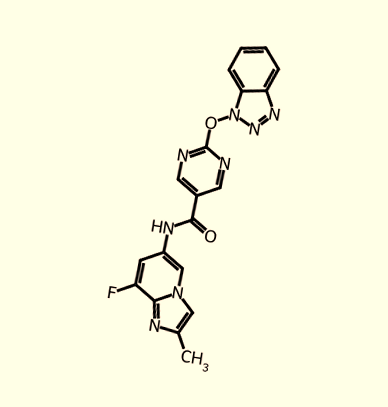 Cc1cn2cc(NC(=O)c3cnc(On4nnc5ccccc54)nc3)cc(F)c2n1